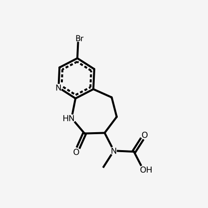 CN(C(=O)O)C1CCc2cc(Br)cnc2NC1=O